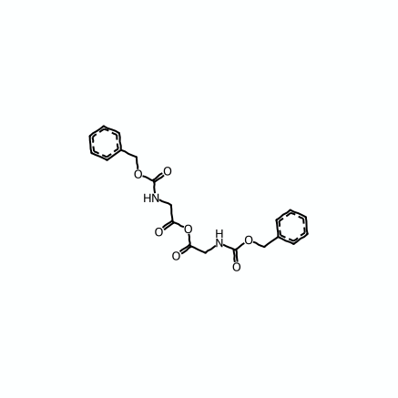 O=C(CNC(=O)OCc1ccccc1)OC(=O)CNC(=O)OCc1ccccc1